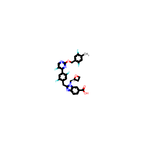 Cc1cc(F)c(COc2ncc(F)c(-c3cc(F)c(Cc4nc5ccc(C(=O)O)cc5n4C[C@@H]4CCO4)cc3F)n2)cc1F